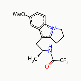 COc1ccc2c(c1)c(C[C@H](C)NC(=O)C(F)(F)F)c1n2CCC1